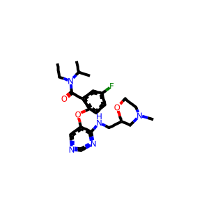 CCN(C(=O)c1cc(F)ccc1Oc1cncnc1NCC1CN(C)CCO1)C(C)C